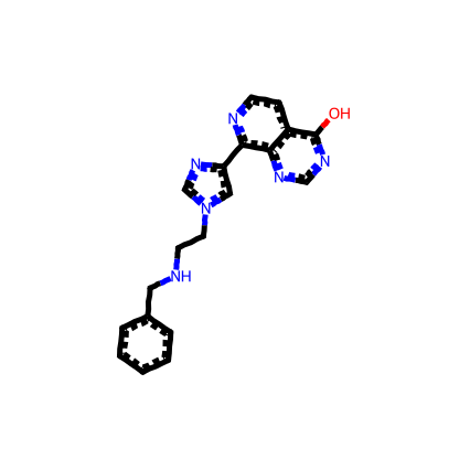 Oc1ncnc2c(-c3cn(CCNCc4ccccc4)cn3)nccc12